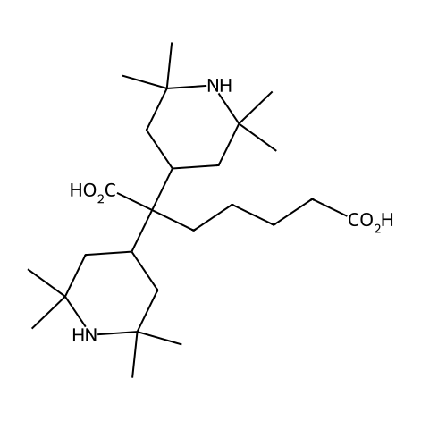 CC1(C)CC(C(CCCCC(=O)O)(C(=O)O)C2CC(C)(C)NC(C)(C)C2)CC(C)(C)N1